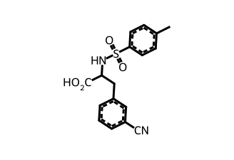 Cc1ccc(S(=O)(=O)NC(Cc2cccc(C#N)c2)C(=O)O)cc1